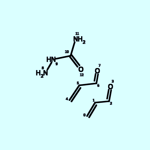 C=CC=O.C=CC=O.NNC(N)=O